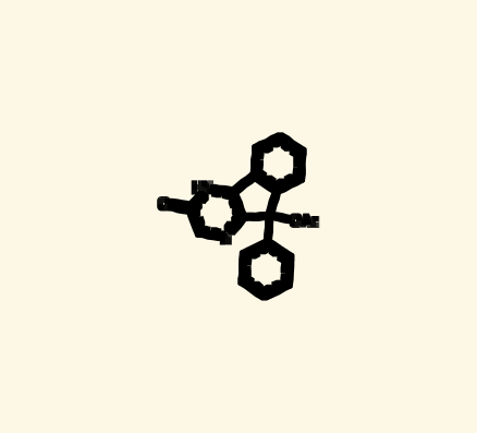 CC(=O)OC1(c2ccccc2)c2ccccc2-c2[nH]c(=O)cnc21